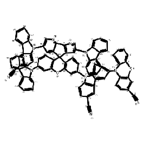 N#Cc1ccc2c(c1)Sc1ccccc1N2c1ccc2c(c1)c1cc(C#N)ccc1n2-c1ccc2c(c1)Oc1cc(-n3c4ccccc4c4ccccc43)ccc1C21c2cc(-n3c4ccccc4c4ccccc43)cnc2-c2ncc(-n3c4ccccc4c4cc(C#N)ccc43)cc21